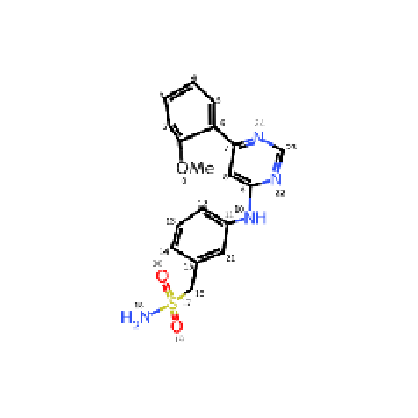 COc1ccccc1-c1cc(Nc2cccc(CS(N)(=O)=O)c2)ncn1